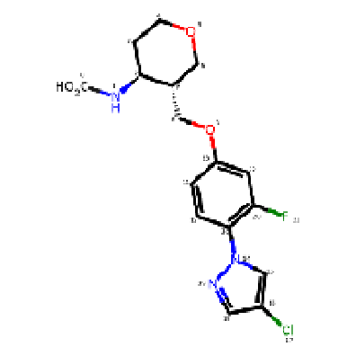 O=C(O)N[C@H]1CCOC[C@@H]1COc1ccc(-n2cc(Cl)cn2)c(F)c1